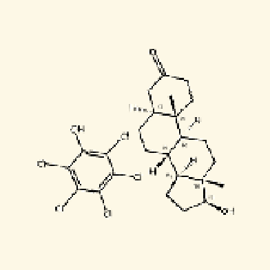 C[C@]12CCC(=O)C[C@@H]1CC[C@@H]1[C@@H]2CC[C@]2(C)[C@@H](O)CC[C@@H]12.Oc1c(Cl)c(Cl)c(Cl)c(Cl)c1Cl